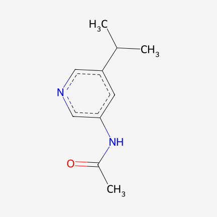 CC(=O)Nc1cncc(C(C)C)c1